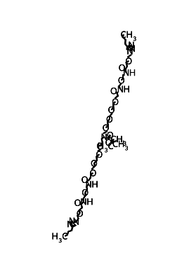 CCCCc1cn(CCOCCC(=O)NCCOCCNC(=O)CCOCCOCCOCCOCCN(CCOCCOCCOCCOCCC(=O)NCCOCCNC(=O)CCOCCn2cc(CCCC)nn2)C(=O)OC(C)(C)C)nn1